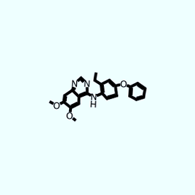 CCc1cc(Oc2ccccc2)ccc1Nc1ncnc2cc(OC)c(OC)cc12